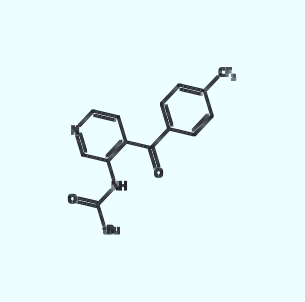 CC(C)(C)C(=O)Nc1cnccc1C(=O)c1ccc(C(F)(F)F)cc1